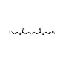 C=CCOC(=O)CCOCCC(=O)OCC=C